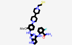 COc1cc(N2CCC(C3CCN(CCS)CC3)CC2)ccc1Nc1nc(Nc2cccc(F)c2C(N)=O)c2cc[nH]c2n1